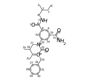 CCC(C)CNC(=O)c1cc(C(N)=O)cc(N(CC(C)CC)C(=O)OCc2ccccc2)c1